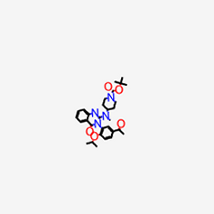 CC(=O)c1ccc(OC(C)C)c(-n2c(N(C)C3CCN(C(=O)OC(C)(C)C)CC3)nc3ccccc3c2=O)c1